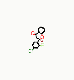 O=C1CC(Br)(c2ccc(Cl)cc2F)Oc2ccccc21